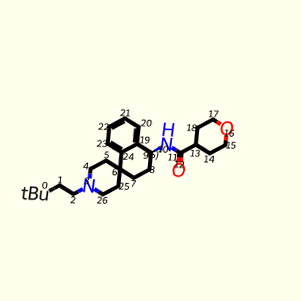 CC(C)(C)CCN1CCC2(CC[C@H](NC(=O)C3CCOCC3)c3ccccc32)CC1